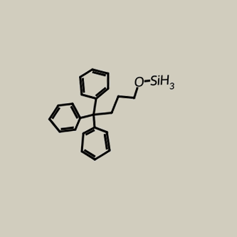 [SiH3]OCCCC(c1ccccc1)(c1ccccc1)c1ccccc1